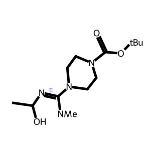 CN/C(=N\C(C)O)N1CCN(C(=O)OC(C)(C)C)CC1